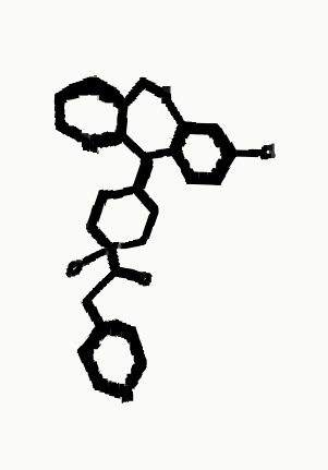 O=C(Cc1ccncc1)[N+]1([O-])CCC(=C2c3ccc(Cl)cc3SCc3cccnc32)CC1